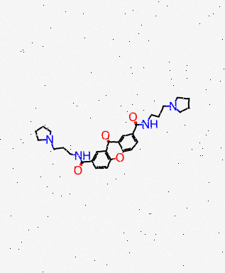 O=C(NCCCN1CCCC1)c1ccc2oc3ccc(C(=O)NCCCN4CCCC4)cc3c(=O)c2c1